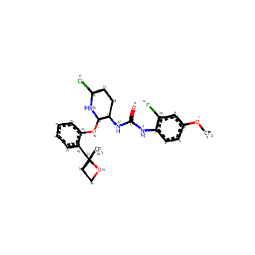 O=C(Nc1ccc(OC(F)(F)F)cc1F)NC1CCC(Cl)NC1Oc1ccccc1C1(C(F)(F)F)CCO1